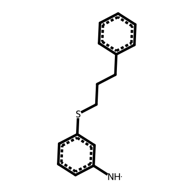 [NH]c1cccc(SCCCc2ccccc2)c1